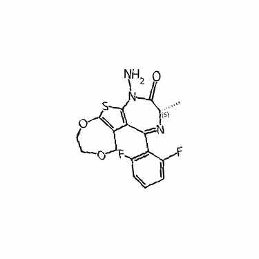 C[C@@H]1N=C(c2c(F)cccc2F)c2c(sc3c2COCCO3)N(N)C1=O